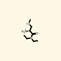 CCN(CC)C(=O)[C@@H](N)COC